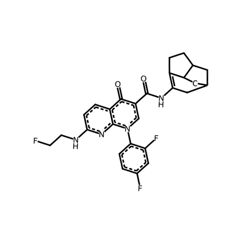 O=C(NC1=C2CCC3CC(C1)CC23)c1cn(-c2ccc(F)cc2F)c2nc(NCCF)ccc2c1=O